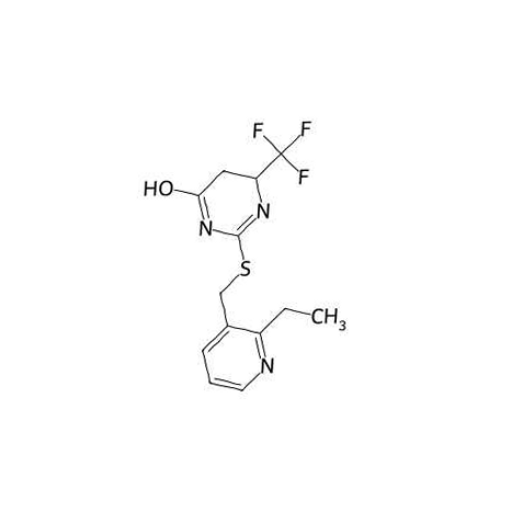 CCc1ncccc1CSC1=NC(C(F)(F)F)CC(O)=N1